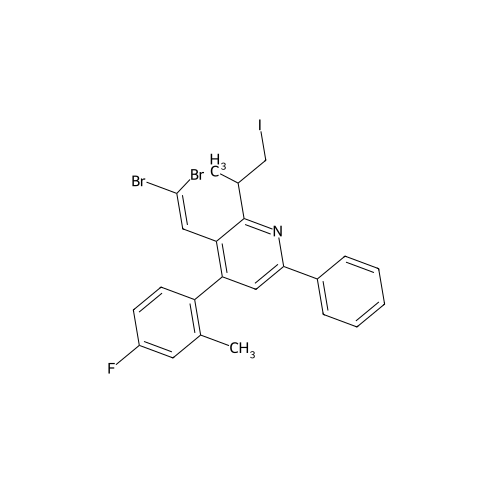 Cc1cc(F)ccc1-c1cc(-c2ccccc2)nc(C(C)CI)c1C=C(Br)Br